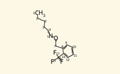 CCCC/[C]=N/OCc1ccccc1C(F)(F)F